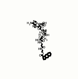 CC(C)(COP(=O)(O)OP(=O)(O)OC[C@H]1O[C@@H](n2cnc3c(N)ncnc32)[C@H](O)[C@@H]1OP(=O)(O)O)[C@@H](O)C(=O)NCCC(=O)NCCSC(=O)c1cccc2cc3ccccc3cc12